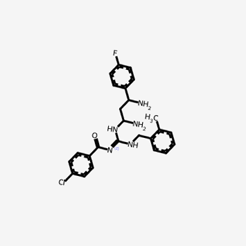 Cc1ccccc1CN/C(=N/C(=O)c1ccc(Cl)cc1)NC(N)CC(N)c1ccc(F)cc1